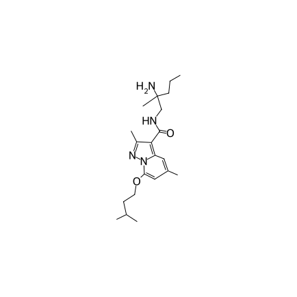 CCCC(C)(N)CNC(=O)c1c(C)nn2c(OCCC(C)C)cc(C)cc12